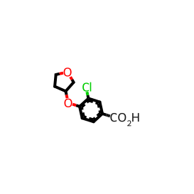 O=C(O)c1ccc(OC2CCOC2)c(Cl)c1